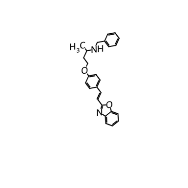 CC(CCOc1ccc(C=Cc2nc3ccccc3o2)cc1)NCc1ccccc1